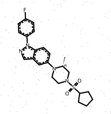 C[C@@H]1CN(S(=O)(=O)C2CCCC2)CCN1c1ccc2c(cnn2-c2ccc(F)cc2)c1